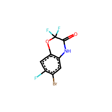 O=C1Nc2cc(Br)c(F)cc2OC1(F)F